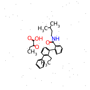 CCC(=O)C(=O)O.CCc1c(-c2ccccc2)cccc1-c1ccccc1C(=O)NCCC(C)C